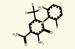 NC(=O)c1cc(C(F)(F)F)n(-c2c(N)cccc2F)c(=O)c1N